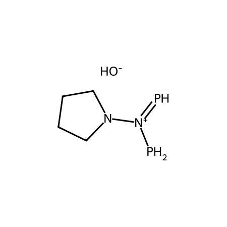 P=[N+](P)N1CCCC1.[OH-]